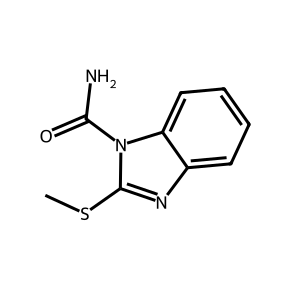 CSc1nc2ccccc2n1C(N)=O